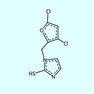 Sc1nccn1Cc1oc(Cl)cc1Cl